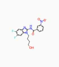 O=C(Nc1nc2cc(F)c(F)cc2n1CCCCO)c1cccc([N+](=O)[O-])c1